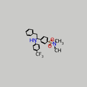 C#CN(C)S(=O)(=O)c1ccc(C(Cc2ccccc2)Nc2ccc(C(F)(F)F)cc2)cc1